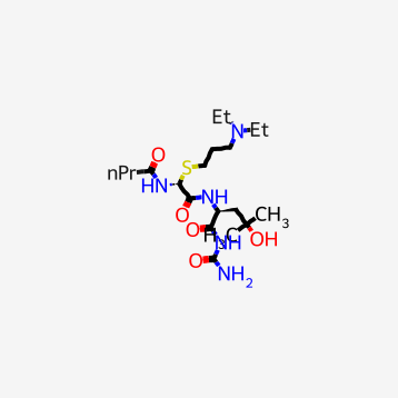 CCCC(=O)N[C@H](SCCCN(CC)CC)C(=O)N[C@@H](CC(C)(C)O)C(=O)NC(N)=O